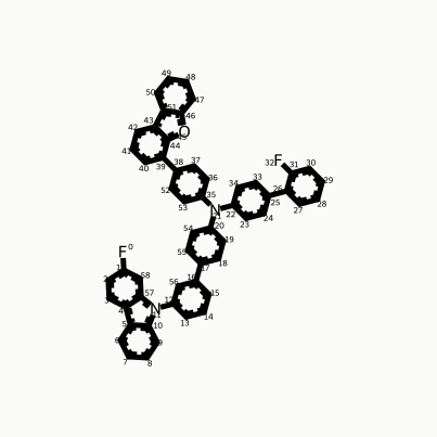 Fc1ccc2c3ccccc3n(-c3cccc(-c4ccc(N(c5ccc(-c6ccccc6F)cc5)c5ccc(-c6cccc7c6oc6ccccc67)cc5)cc4)c3)c2c1